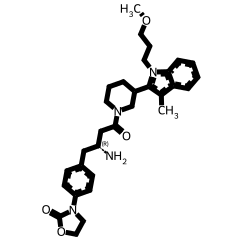 COCCCn1c(C2CCCN(C(=O)C[C@H](N)Cc3ccc(N4CCOC4=O)cc3)C2)c(C)c2ccccc21